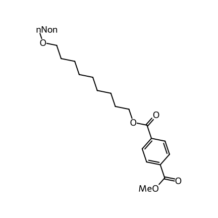 CCCCCCCCCOCCCCCCCCCOC(=O)c1ccc(C(=O)OC)cc1